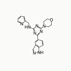 c1ccc(CNc2nc(-c3ccc4[nH]ncc4c3)nc(N3CCOCC3)n2)nc1